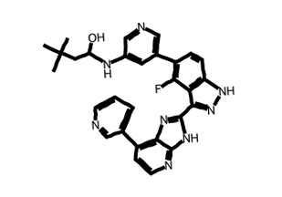 CC(C)(C)CC(O)Nc1cncc(-c2ccc3[nH]nc(-c4nc5c(-c6cccnc6)ccnc5[nH]4)c3c2F)c1